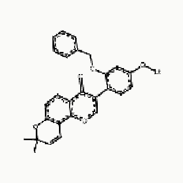 CCOc1ccc(-c2coc3c4c(ccc3c2=O)OC(C)(C)C=C4)c(OCc2ccccc2)c1